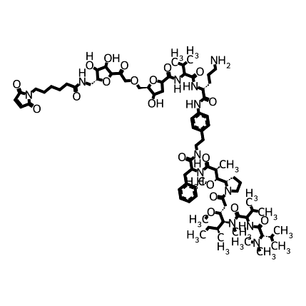 CC[C@H](C)[C@@H]([C@@H](CC(=O)N1CCC[C@H]1[C@H](OC)[C@@H](C)C(=O)NC(Cc1ccccc1)C(=O)NCCc1ccc(NC(=O)[C@@H](CCCN)NC(=O)C(NC(=O)C2CC(O)[C@@H](COCC(=O)C3O[C@H](CNC(=O)CCCCCN4C(=O)C=CC4=O)C(O)C3O)O2)C(C)C)cc1)OC)N(C)C(=O)C(NC(=O)[C@H](C(C)C)N(C)C)C(C)C